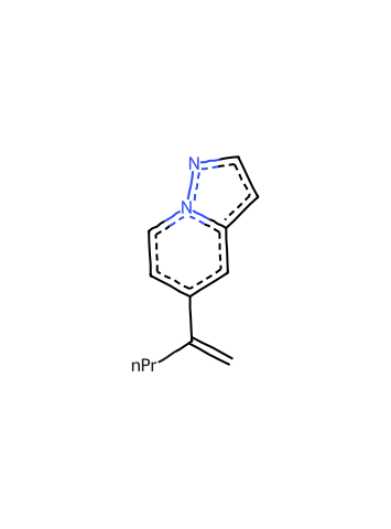 C=C(CCC)c1ccn2nccc2c1